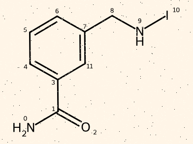 NC(=O)c1cccc(CNI)c1